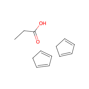 C1=CCC=C1.C1=CCC=C1.CCC(=O)O